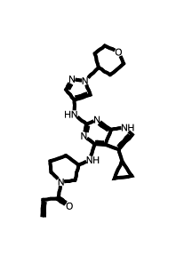 C=CC(=O)N1CCCC(Nc2nc(Nc3cnn(C4CCOCC4)c3)nc3[nH]cc(C4CC4)c23)C1